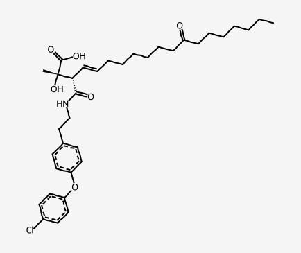 CCCCCCCC(=O)CCCCCC/C=C/[C@H](C(=O)NCCc1ccc(Oc2ccc(Cl)cc2)cc1)[C@](C)(O)C(=O)O